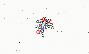 N#Cc1c(N2c3ccc(-c4ccccc4)cc3C3(c4ccccc4Oc4ccccc43)c3cc(-c4ccccc4)ccc32)c2c(c(N3c4ccc(-c5ccccc5)cc4C4(c5ccccc5Oc5ccccc54)c4cc(-c5ccccc5)ccc43)c1N1c3ccc(-c4ccccc4)cc3C3(c4ccccc4Oc4ccccc43)c3cc(-c4ccccc4)ccc31)C1CCC2C1